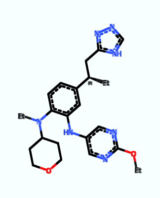 CCOc1ncc(Nc2cc([C@H](CC)Cc3nnc[nH]3)ccc2N(CC)C2CCOCC2)cn1